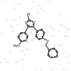 COc1ccc(-c2nc(C(C)C)oc2-c2ccc(OCc3ccccc3)cc2)cn1